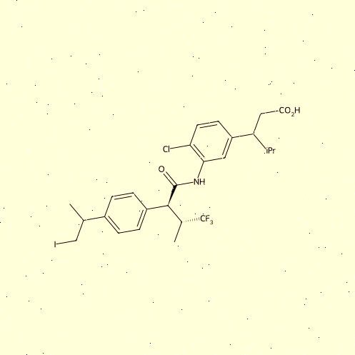 CC(CI)c1ccc([C@@H](C(=O)Nc2cc(C(CC(=O)O)C(C)C)ccc2Cl)[C@@H](C)C(F)(F)F)cc1